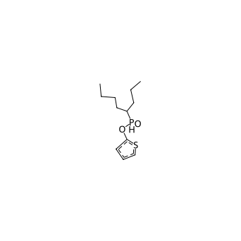 CCCCC(CCC)[PH](=O)Oc1cccs1